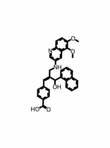 COc1ccc2ncc(NCC(=Cc3ccc(C(=O)O)cc3)C(O)c3cccc4ccccc34)cc2c1OC